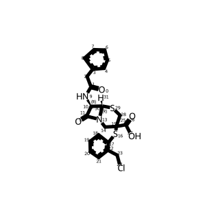 O=C(Cc1ccccc1)N[C@@H]1C(=O)N2CC(Sc3ccccc3CCl)(C(=O)O)CS[C@H]12